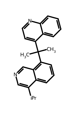 CC(C)c1cncc2c(C(C)(C)c3ccnc4ccccc34)cccc12